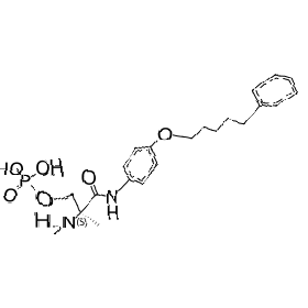 C[C@](N)(COP(=O)(O)O)C(=O)Nc1ccc(OCCCCCc2ccccc2)cc1